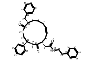 O=C(C[C@H]1C/C=C\CCC[C@H](Cc2ccccc2)C(=O)OC[C@H](c2ccccc2)NC1=O)NCCc1ccccc1